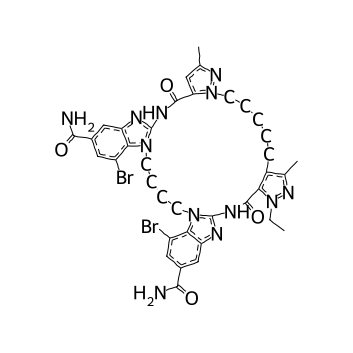 CCn1nc(C)c2c1C(=O)Nc1nc3cc(C(N)=O)cc(Br)c3n1CCCCn1c(nc3cc(C(N)=O)cc(Br)c31)NC(=O)c1cc(C)nn1CCCCC2